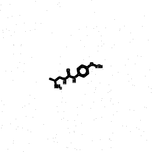 CCCCOc1ccc(NC(=O)NC[C@H](C)N)cc1